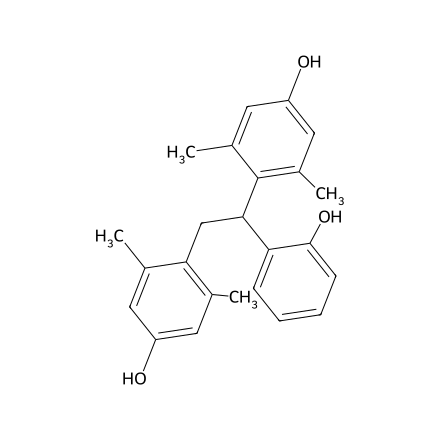 Cc1cc(O)cc(C)c1CC(c1ccccc1O)c1c(C)cc(O)cc1C